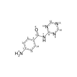 Nc1ccc(C(=O)Nc2ncncn2)cc1